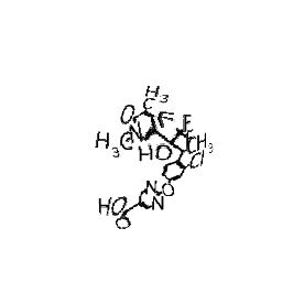 Cc1cc([C@@](O)([C@@H](C)c2ccc(Oc3ncc(C(=O)O)cn3)cc2Cl)C(F)(F)F)cn(C)c1=O